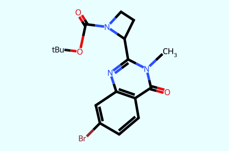 Cn1c(C2CCN2C(=O)OC(C)(C)C)nc2cc(Br)ccc2c1=O